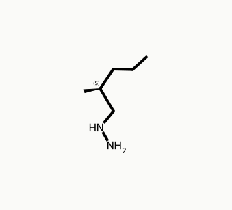 CCC[C@H](C)CNN